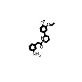 CCOc1cc(C2=NN(C(=O)Cc3cccc(N)c3)CCC2)ccc1OC